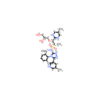 COc1cccc(OC)c1-n1c(NS(=O)(=O)[C@@H](C)[C@H](OC[C@@H](O)CO)c2ncc(C)cn2)nnc1-c1cncc(C)c1